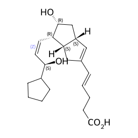 O=C(O)CCC=CC1=C[C@H]2C[C@@H](O)[C@@H](/C=C\[C@@H](O)C3CCCC3)[C@H]2C1